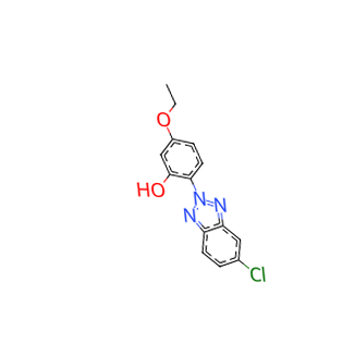 CCOc1ccc(-n2nc3ccc(Cl)cc3n2)c(O)c1